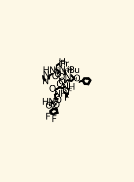 CC[C@@H](C)[C@@H](NC(=O)[C@H](CC(C)C)NC(=O)c1cnccn1)C(=O)N1C[C@H](OCc2ccccc2)C[C@H]1C(=O)N[C@@H](CC(F)F)C(=O)C(=O)NCC(=O)NS(=O)(=O)c1ccc(F)c(F)c1